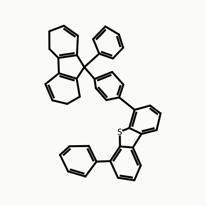 C1=CC2=C(CC1)C1=C(CCC=C1)C2(c1ccccc1)c1ccc(-c2cccc3c2sc2c(-c4ccccc4)cccc23)cc1